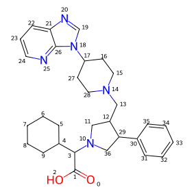 O=C(O)C(C1CCCCC1)N1CC(CN2CCC(n3cnc4cccnc43)CC2)C(c2ccccc2)C1